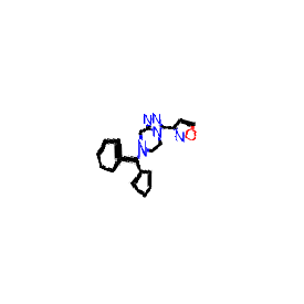 c1ccc(C(c2ccccc2)N2CCn3c(nnc3-c3ccon3)C2)cc1